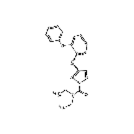 CCN(CC)C(=O)n1ccc(Sc2ccccc2Oc2ccccc2)n1